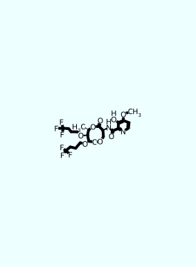 COc1ccnc(C(=O)N[C@H]2COC[C@H](OCCCC(F)(F)F)[C@@H](OCCCC(F)(F)F)[C@H](C)OC2=O)c1O